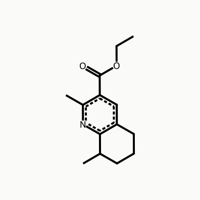 CCOC(=O)c1cc2c(nc1C)C(C)CCC2